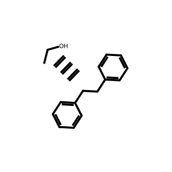 C=C.C=C.C=C.CCO.c1ccc(CCc2ccccc2)cc1